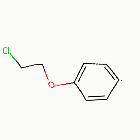 ClCCOc1cc[c]cc1